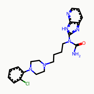 NC(=O)N(CCCCN1CCN(c2ccccc2Cl)CC1)c1nc2cccnc2[nH]1